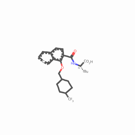 CC(C)(C)[C@H](NC(=O)c1ccc2ccccc2c1OCC1CCC(C(F)(F)F)CC1)C(=O)O